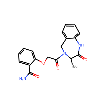 CCC(C)C1C(=O)Nc2ccccc2CN1C(=O)COc1ccccc1C(N)=O